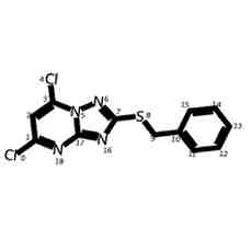 Clc1cc(Cl)n2nc(SCc3ccccc3)nc2n1